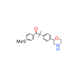 CSc1ccc(C(=O)C(C)(C)c2ccc(C3CNCCO3)cc2)cc1